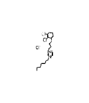 CCCCCCCn1cc[n+](CCCCc2cccc(Cl)c2Cl)c1.[Cl-]